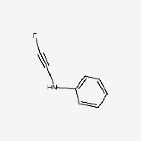 FC#CNc1ccccc1